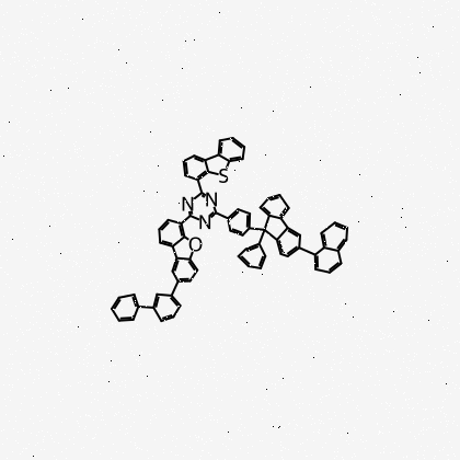 c1ccc(-c2cccc(-c3ccc4oc5c(-c6nc(-c7ccc(C8(c9ccccc9)c9ccccc9-c9cc(-c%10cccc%11ccccc%10%11)ccc98)cc7)nc(-c7cccc8c7sc7ccccc78)n6)cccc5c4c3)c2)cc1